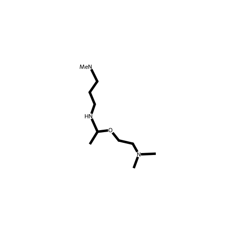 CNCCCNC(C)OCCN(C)C